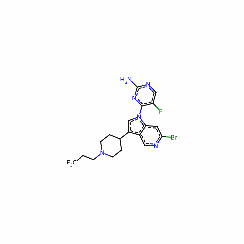 Nc1ncc(F)c(-n2cc(C3CCN(CCC(F)(F)F)CC3)c3cnc(Br)cc32)n1